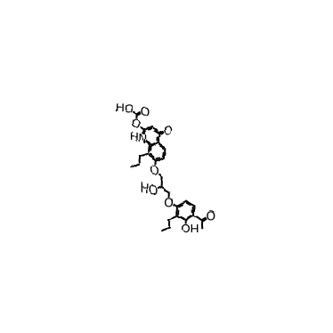 CCCc1c(OCC(O)COc2ccc3c(=O)cc(OC(=O)O)[nH]c3c2CCC)ccc(C(C)=O)c1O